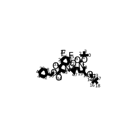 CC(C)(C)OC(=O)N1CC(CO[Si](C)(C)C(C)(C)C)C[C@H]1COc1c(F)c(F)cc2c(=O)c(C(=O)OCc3ccccc3)cn(C3CC3)c12